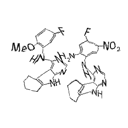 COc1ccc(F)cc1Nc1ncnc2[nH]c3c(c12)CCCC3.Nc1cc(F)c([N+](=O)[O-])cc1Nc1ncnc2[nH]c3c(c12)CCCC3